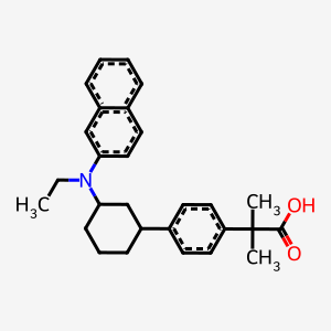 CCN(c1ccc2ccccc2c1)C1CCCC(c2ccc(C(C)(C)C(=O)O)cc2)C1